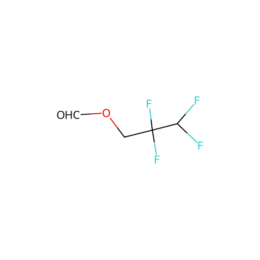 O=COCC(F)(F)C(F)F